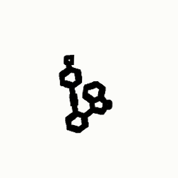 Clc1ccc(C#Cc2ccccc2-c2coc3ccccc23)cc1